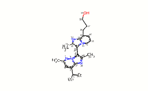 CCC(CC)c1cc(C)nn2c(-c3c(C)nc4c(CCCO)cccn34)c(C)nc12